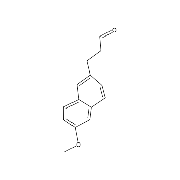 COc1ccc2cc(CCC=O)ccc2c1